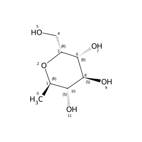 C[C@H]1O[C@H](CO)[C@H](O)[C@@H](O)[C@@H]1O